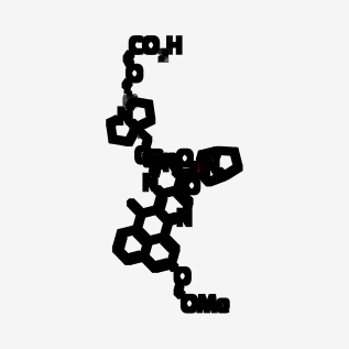 COCOc1cc2c3c(cccc3c1)C(C)c1c-2ncc2c(N3CC4CCC(C3)N4C(=O)OC(C)(C)C)nc(OC[C@@]34CCCN3[C@H](COCC(=O)O)CC4)nc12